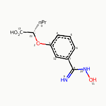 CCC[C@H](Oc1cccc(C(=N)NO)c1)C(=O)O